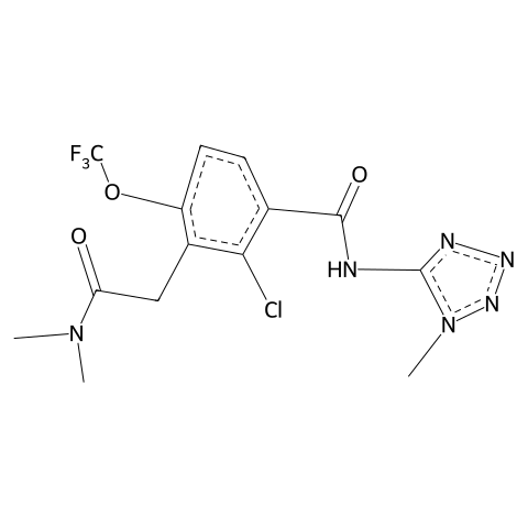 CN(C)C(=O)Cc1c(OC(F)(F)F)ccc(C(=O)Nc2nnnn2C)c1Cl